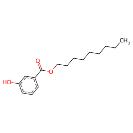 CCCCCCCCCOC(=O)c1cccc(O)c1